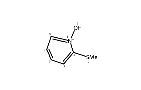 CSc1cccc[n+]1O